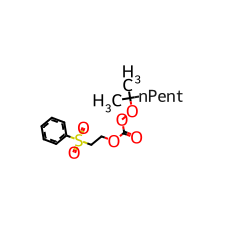 CCCCCC(C)(C)OOC(=O)OCCS(=O)(=O)c1ccccc1